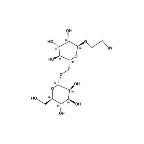 CC(C)CCO[C@H]1O[C@H](CO[C@H]2O[C@H](CO)[C@@H](O)[C@H](O)[C@@H]2O)[C@@H](O)[C@H](O)[C@@H]1O